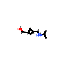 CC(C)NC[C@H]1C[C@@H](CO)C1